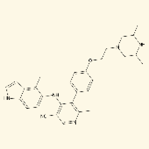 Cc1ncc(C#N)c(Nc2ccc3[nH]ccc3c2C)c1-c1ccc(OCCN2CC(C)NC(C)C2)cc1